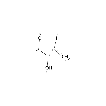 C=CI.OCCO